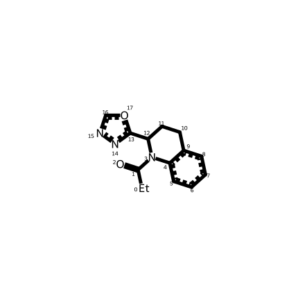 CCC(=O)N1c2ccccc2CCC1c1nnco1